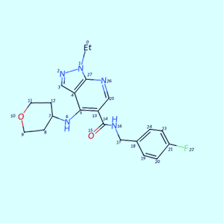 CCn1ncc2c(NC3CCOCC3)c(C(=O)NCc3ccc(F)cc3)cnc21